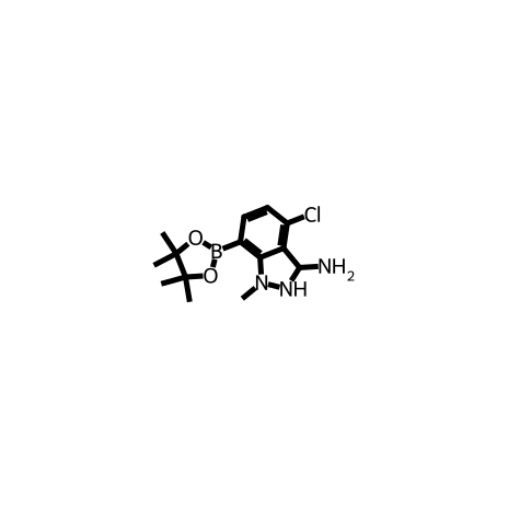 CN1NC(N)c2c(Cl)ccc(B3OC(C)(C)C(C)(C)O3)c21